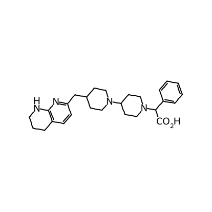 O=C(O)C(c1ccccc1)N1CCC(N2CCC(Cc3ccc4c(n3)NCCC4)CC2)CC1